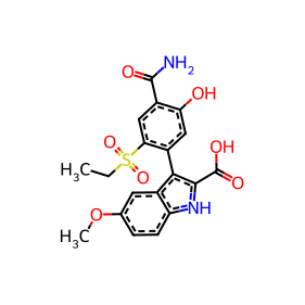 CCS(=O)(=O)c1cc(C(N)=O)c(O)cc1-c1c(C(=O)O)[nH]c2ccc(OC)cc12